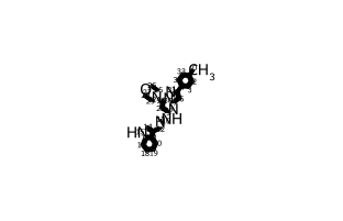 Cc1ccc(-c2cc3nc(NN=Cc4c[nH]c5ccccc45)cc(N4CCOCC4)n3n2)cc1